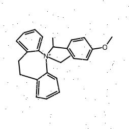 [CH2]C(c1ccc(OC)cc1)[N+]1(CC)c2ccccc2CCc2ccccc21